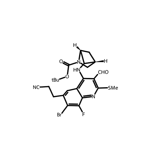 CSc1nc2c(F)c(Br)c(CCC#N)cc2c(NC2[C@@H]3C[C@H]2N(C(=O)OC(C)(C)C)C3)c1C=O